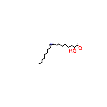 CCCCCCCC/C=C\CCCCCCC(O)[C]=O